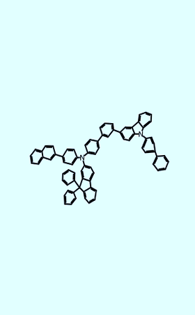 c1ccc(-c2ccc(-n3c4ccccc4c4cc(-c5cccc(-c6ccc(N(c7ccc(-c8ccc9ccccc9c8)cc7)c7ccc8c(c7)C(c7ccccc7)(c7ccccc7)c7ccccc7-8)cc6)c5)ccc43)cc2)cc1